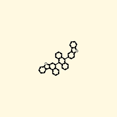 c1ccc2c(c1)oc1ccc(-c3c4ccccc4c(-c4cc5oc6ccccc6c5c5ccccc45)c4ccccc34)cc12